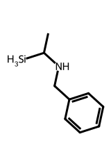 CC([SiH3])NCc1ccccc1